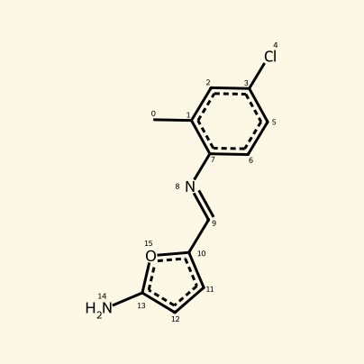 Cc1cc(Cl)ccc1N=Cc1ccc(N)o1